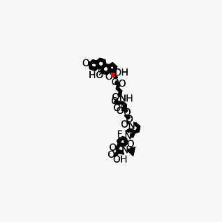 COc1c(N2CC3CCCN(C(=O)OCOC(=O)CC(NC(=O)CCC(=O)OCC(=O)[C@@]4(O)CCC5C6CCC7=CC(=O)C=C[C@]7(C)C6[C@@H](O)C[C@@]54C)C(=O)O)C3C2)c(F)cc2c(=O)c(C(=O)O)cn(C3CC3)c12